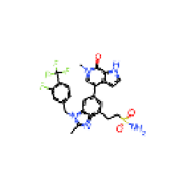 Cc1nc2c(CCS(N)(=O)=O)cc(-c3cn(C)c(=O)c4[nH]ccc34)cc2n1Cc1ccc(C(F)(F)F)c(F)c1